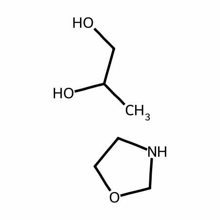 C1COCN1.CC(O)CO